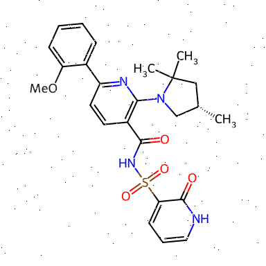 COc1ccccc1-c1ccc(C(=O)NS(=O)(=O)c2ccc[nH]c2=O)c(N2C[C@@H](C)CC2(C)C)n1